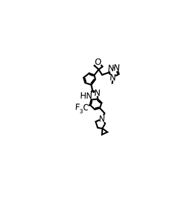 Cn1cnnc1CC1(c2cccc(-c3nc4cc(CN5CCC6(CC6)C5)cc(C(F)(F)F)c4[nH]3)c2)COC1